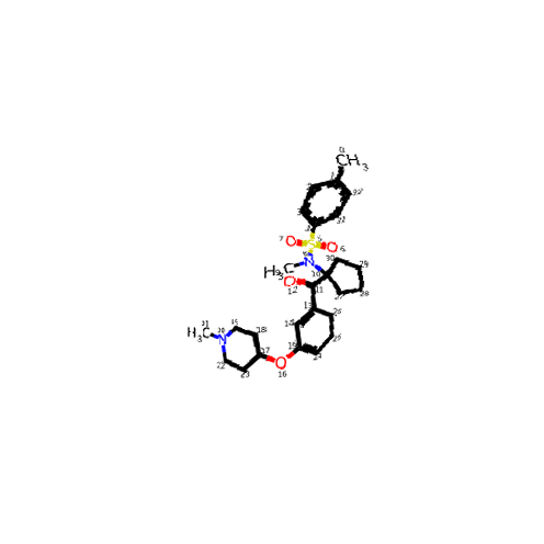 Cc1ccc(S(=O)(=O)N(C)C2(C(=O)C3=CC(OC4CCN(C)CC4)=CC[CH]3)CCCC2)cc1